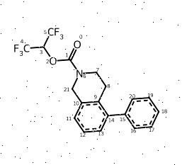 O=C(OC(C(F)(F)F)C(F)(F)F)N1CCc2c(cccc2-c2ccccc2)C1